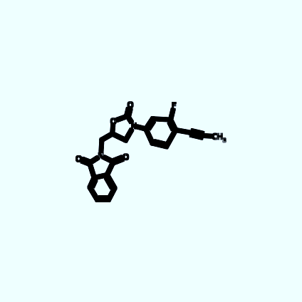 CC#Cc1ccc(N2CC(CN3C(=O)c4ccccc4C3=O)OC2=O)cc1F